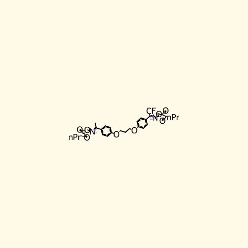 CCCS(=O)(=O)O/N=C(/c1ccc(OCCCOc2ccc(/C(C)=N/OS(=O)(=O)CCC)cc2)cc1)C(F)(F)F